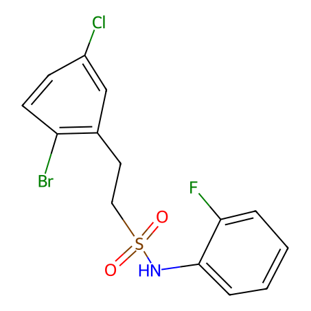 O=S(=O)(CCc1cc(Cl)ccc1Br)Nc1ccccc1F